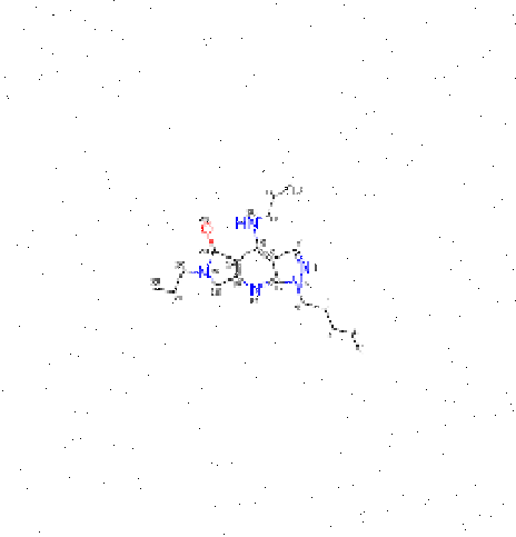 CCCCCn1ncc2c(NCCC)c3c(nc21)CN(CCC)C3=O